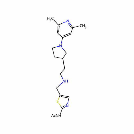 CC(=O)Nc1ncc(CNCCC2CCN(c3cc(C)nc(C)c3)C2)s1